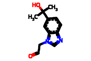 CC(C)(O)c1ccc2ncn(CC=O)c2c1